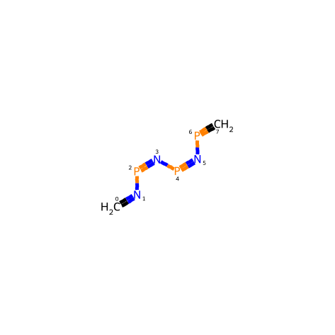 C=N/P=N\P=N/P=C